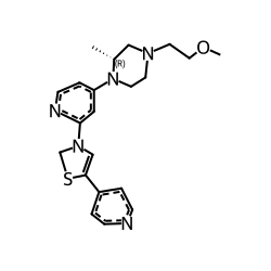 COCCN1CCN(c2ccnc(N3C=C(c4ccncc4)SC3)c2)[C@H](C)C1